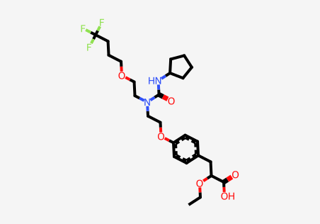 CCOC(Cc1ccc(OCCN(CCOCCCC(F)(F)F)C(=O)NC2CCCC2)cc1)C(=O)O